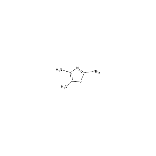 Nc1nc(N)c(N)s1